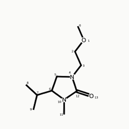 COCCN1CC(C(C)C)N(C)C1=O